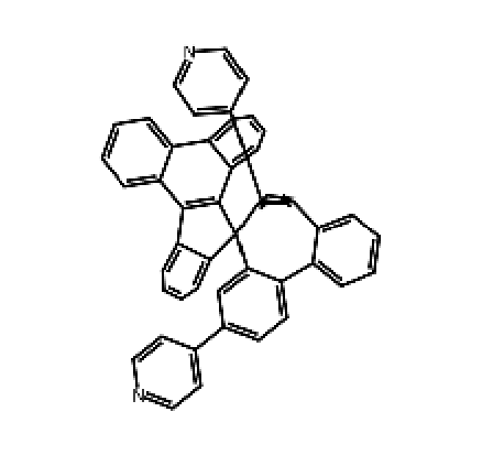 c1ccc2c(c1)-c1ccc(-c3ccncc3)cc1C1(c3cc(-c4ccncc4)ccc3-2)c2ccccc2-c2c1c1ccccc1c1ccccc21